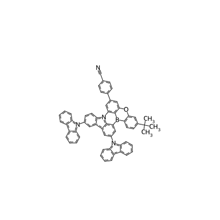 CC(C)(C)c1ccc2c(c1)Oc1cc(-c3ccc(C#N)cc3)cc3c1B2c1cc(-n2c4ccccc4c4ccccc42)cc2c4cc(-n5c6ccccc6c6ccccc65)ccc4n-3c12